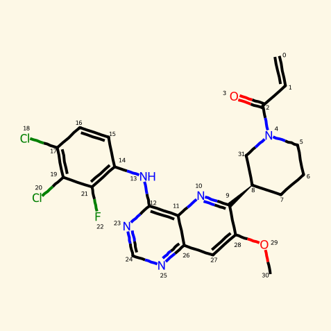 C=CC(=O)N1CCC[C@@H](c2nc3c(Nc4ccc(Cl)c(Cl)c4F)ncnc3cc2OC)C1